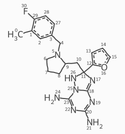 Cc1cc(CN2CCCC2CC2(c3ccco3)N=C3N=C(N)N=C(N)N3N2)ccc1F